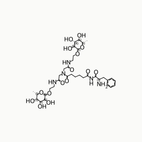 C[C@@H]1O[C@@H](OCCNC(=O)CN(CC(=O)NCCO[C@@H]2O[C@@H](C)[C@@H](O)[C@@H](O)[C@@H]2O)C(=O)CCCCC(=O)NC(=O)[C@@H](N)Cc2ccccc2)[C@@H](O)[C@H](O)[C@@H]1O